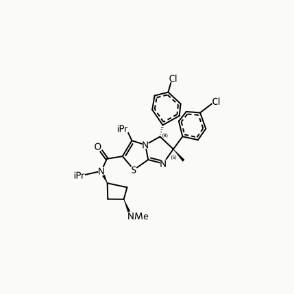 CN[C@H]1C[C@@H](N(C(=O)C2=C(C(C)C)N3C(=N[C@@](C)(c4ccc(Cl)cc4)[C@H]3c3ccc(Cl)cc3)S2)C(C)C)C1